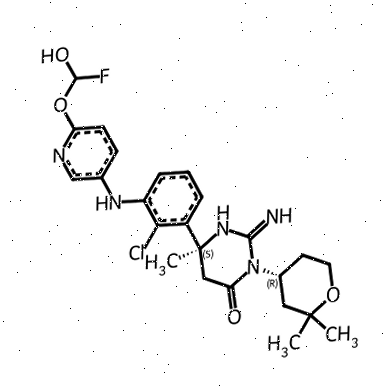 CC1(C)C[C@H](N2C(=N)N[C@](C)(c3cccc(Nc4ccc(OC(O)F)nc4)c3Cl)CC2=O)CCO1